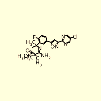 CN=[S@]1(=O)C[C@@](C)(c2cc(-c3cc(-c4ncc(Cl)cn4)no3)ccc2F)N=C(N)C1(C)C